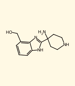 NC1(c2nc3c(CO)cccc3[nH]2)CCNCC1